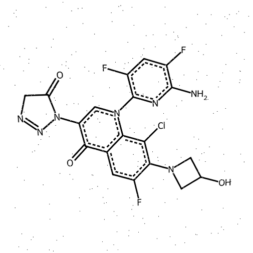 Nc1nc(-n2cc(N3N=NCC3=O)c(=O)c3cc(F)c(N4CC(O)C4)c(Cl)c32)c(F)cc1F